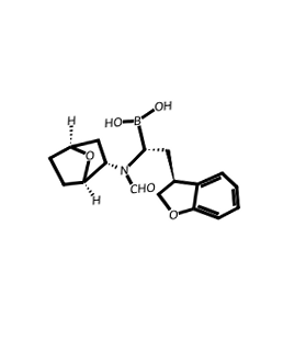 O=CN([C@@H](C[C@@H]1COc2ccccc21)B(O)O)[C@H]1C[C@@H]2CC[C@H]1O2